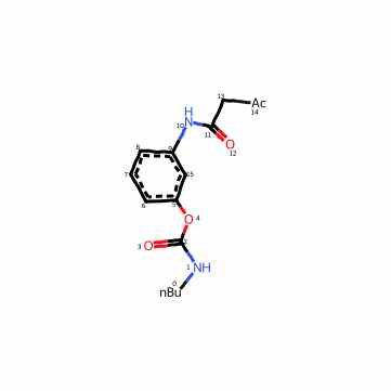 CCCCNC(=O)Oc1cccc(NC(=O)CC(C)=O)c1